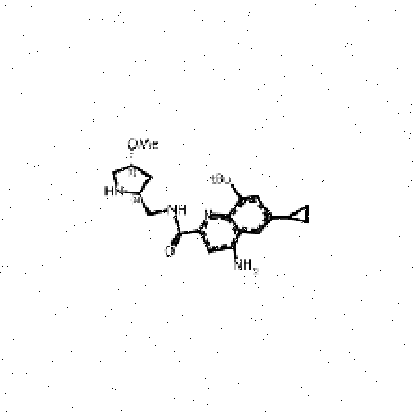 CO[C@H]1CN[C@H](CNC(=O)c2cc(N)c3cc(C4CC4)cc(C(C)(C)C)c3n2)C1